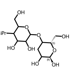 CC(C)C1C(CO)OC(OC2CC(O)[C@H](O)O[C@H]2CO)C(O)C1O